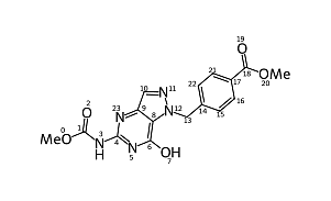 COC(=O)Nc1nc(O)c2c(cnn2Cc2ccc(C(=O)OC)cc2)n1